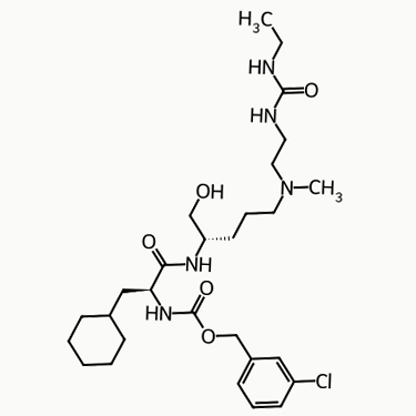 CCNC(=O)NCCN(C)CCC[C@@H](CO)NC(=O)[C@H](CC1CCCCC1)NC(=O)OCc1cccc(Cl)c1